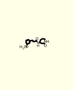 COc1cccc(C=CC(=O)NC2CCCNC(=O)C2)c1